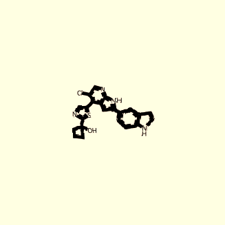 OC1(c2ncc(-c3c(Cl)cnc4[nH]c(-c5ccc6c(c5)CCN6)cc34)s2)CCC1